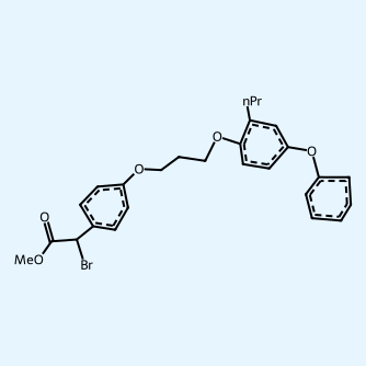 CCCc1cc(Oc2ccccc2)ccc1OCCCOc1ccc(C(Br)C(=O)OC)cc1